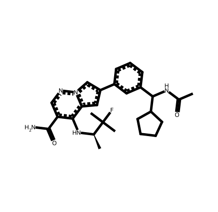 CC(=O)NC(c1cccc(-c2cc3c(N[C@H](C)C(C)(C)F)c(C(N)=O)cnn3c2)c1)C1CCCC1